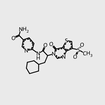 CS(=O)(=O)c1csc2c(=O)n(C(CC3CCCCC3)C(=O)Nc3ccc(C(N)=O)cn3)cnc12